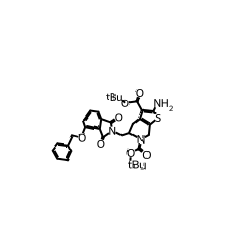 CC(C)(C)OC(=O)c1c(N)sc2c1CC(CN1C(=O)c3cccc(OCc4ccccc4)c3C1=O)N(C(=O)OC(C)(C)C)C2